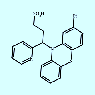 CCc1ccc2c(c1)N(C(CCS(=O)(=O)O)c1ccccn1)c1ccccc1S2